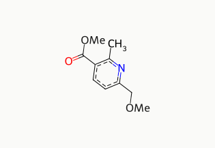 COCc1ccc(C(=O)OC)c(C)n1